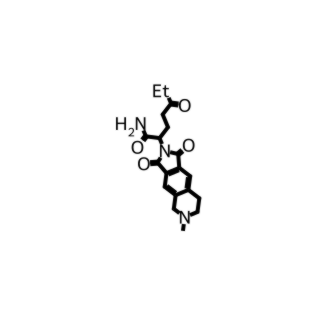 CCC(=O)CCC(C(N)=O)N1C(=O)c2cc3c(cc2C1=O)CN(C)CC3